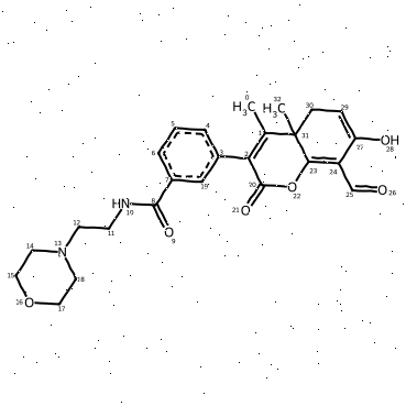 CC1=C(c2cccc(C(=O)NCCN3CCOCC3)c2)C(=O)OC2=C(C=O)C(O)=CCC12C